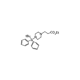 CCOC(=O)CCN1CCN([Si](c2ccccc2)(c2ccccc2)C(C)(C)C)CC1